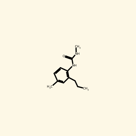 CCCc1cc(C)ccc1NC(=O)NC